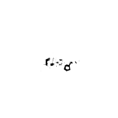 COC(=O)C1=C(NS(=O)(=O)c2nc3nc(C)cc(C)n3n2)C=CC1